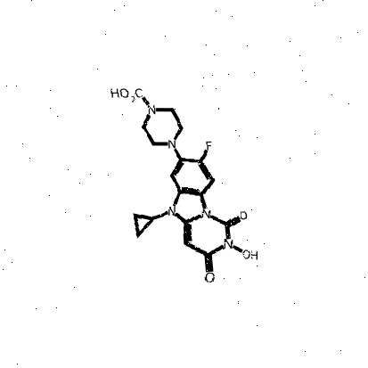 O=C(O)N1CCN(c2cc3c(cc2F)n2c(=O)n(O)c(=O)cc2n3C2CC2)CC1